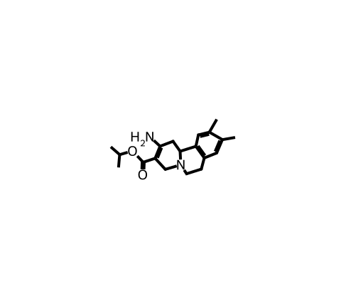 Cc1cc2c(cc1C)C1CC(N)=C(C(=O)OC(C)C)CN1CC2